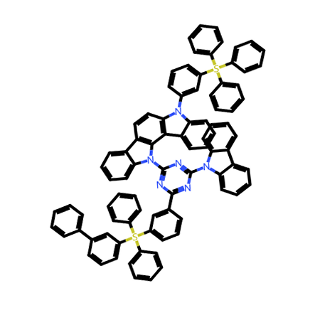 c1ccc(-c2cccc(S(c3ccccc3)(c3ccccc3)c3cccc(-c4nc(-n5c6ccccc6c6ccccc65)nc(-n5c6ccccc6c6ccc7c(c8ccccc8n7-c7cccc(S(c8ccccc8)(c8ccccc8)c8ccccc8)c7)c65)n4)c3)c2)cc1